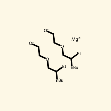 CCCCC(CC)COCC[O-].CCCCC(CC)COCC[O-].[Mg+2]